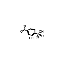 O=S(O)c1ccc(P(=O)(O)O)cc1.[LiH]